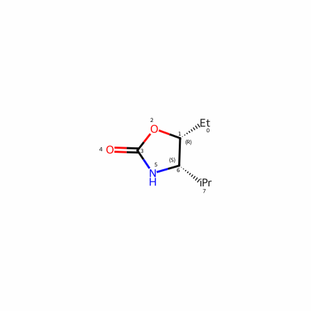 CC[C@H]1OC(=O)N[C@H]1C(C)C